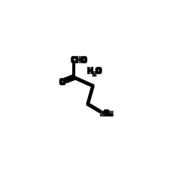 CCCCCCC(=O)C=O.O